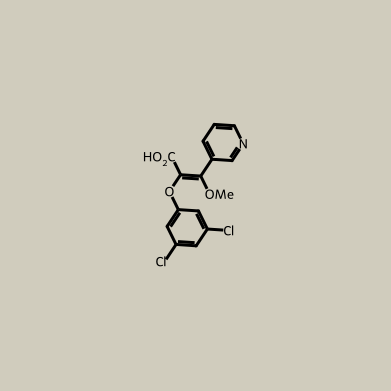 COC(=C(Oc1cc(Cl)cc(Cl)c1)C(=O)O)c1cccnc1